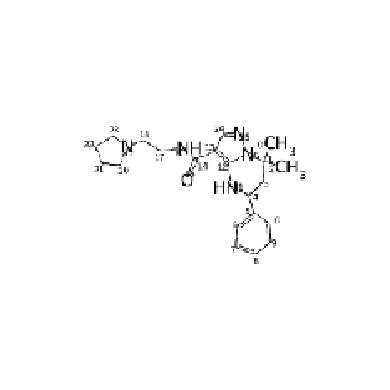 CC1(C)CC(c2ccccc2)Nc2c(C(=O)NCCN3CCCC3)cnn21